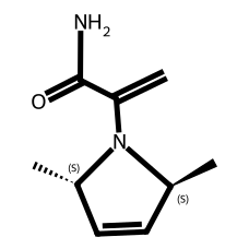 C=C(C(N)=O)N1[C@@H](C)C=C[C@@H]1C